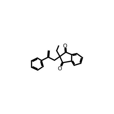 C=C(CC1(CC)C(=O)c2ccccc2C1=O)c1ccccc1